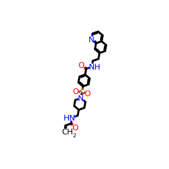 C=CC(=O)NCC1CCN(S(=O)(=O)c2ccc(C(=O)NCCc3ccc4cccnc4c3)cc2)CC1